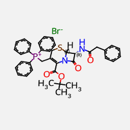 CC(C)(C)OC(=O)C1=C(C[P+](c2ccccc2)(c2ccccc2)c2ccccc2)CS[C@@H]2[C@H](NC(=O)Cc3ccccc3)C(=O)N12.[Br-]